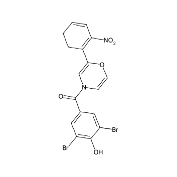 O=C(c1cc(Br)c(O)c(Br)c1)N1C=COC(C2=C([N+](=O)[O-])C=CCC2)=C1